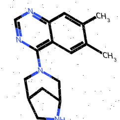 Cc1cc2ncnc(N3CC4CNC(C4)C3)c2cc1C